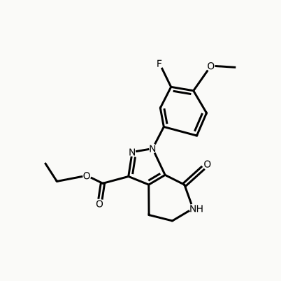 CCOC(=O)c1nn(-c2ccc(OC)c(F)c2)c2c1CCNC2=O